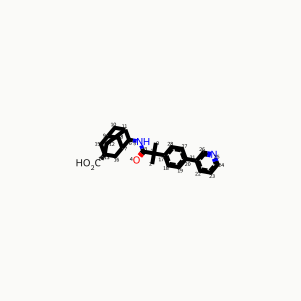 CC(C)(C(=O)NC1C2CC3CC1CC(C(=O)O)(C3)C2)c1ccc(-c2cccnc2)cc1